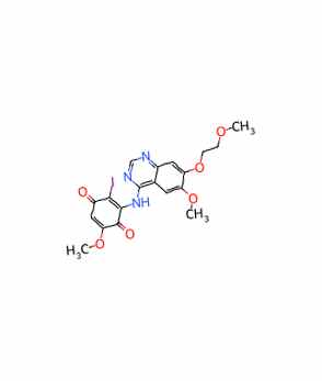 COCCOc1cc2ncnc(NC3=C(I)C(=O)C=C(OC)C3=O)c2cc1OC